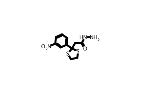 NNC(=O)CC1(c2cccc([N+](=O)[O-])c2)SCCS1